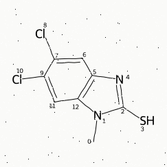 Cn1c(S)nc2cc(Cl)c(Cl)cc21